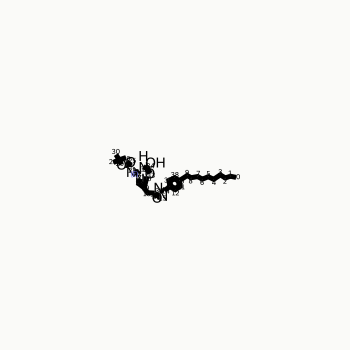 CCCCCCCCCCc1ccc(-c2noc(CC3CN(/C(=N/C(=O)OC(C)(C)C)NC(=O)O)C3)n2)cc1